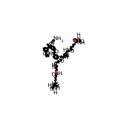 Cc1c(-c2cccc(S(=O)(=O)N(C)C)c2)c2cc(C(=O)Nc3ccc4c(c3)n(CCn3cc(CCNC(=O)CCCC[C@@H]5SCC6NC(=O)NC65)nn3)c(=O)n4CCn3cc(CCNC(=O)CCCC[C@@H]4SC[C@@H]5NC(=O)N[C@@H]54)nn3)ccc2n1C/C(F)=C/CN